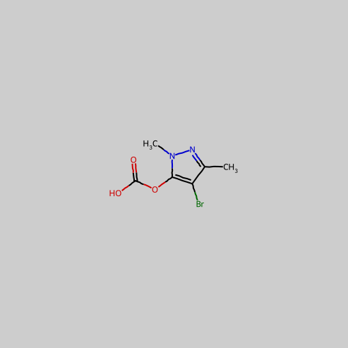 Cc1nn(C)c(OC(=O)O)c1Br